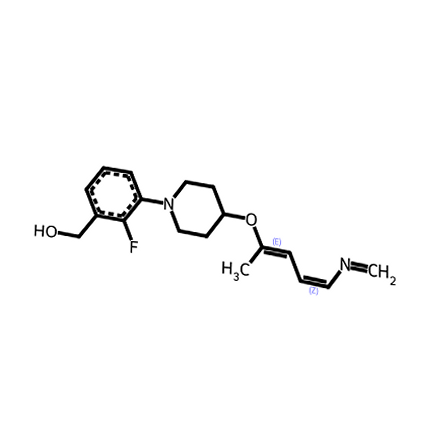 C=N/C=C\C=C(/C)OC1CCN(c2cccc(CO)c2F)CC1